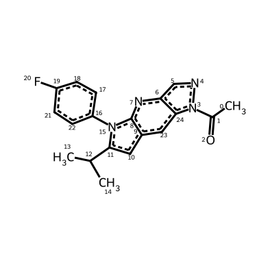 CC(=O)n1ncc2nc3c(cc(C(C)C)n3-c3ccc(F)cc3)cc21